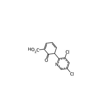 O=C(O)C1=CC=CC(c2ncc(Cl)cc2Cl)C1=O